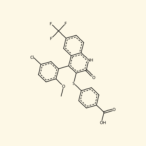 COc1ccc(Cl)cc1-c1c(Sc2ccc(C(=O)O)cc2)c(=O)[nH]c2ccc(C(F)(F)F)cc12